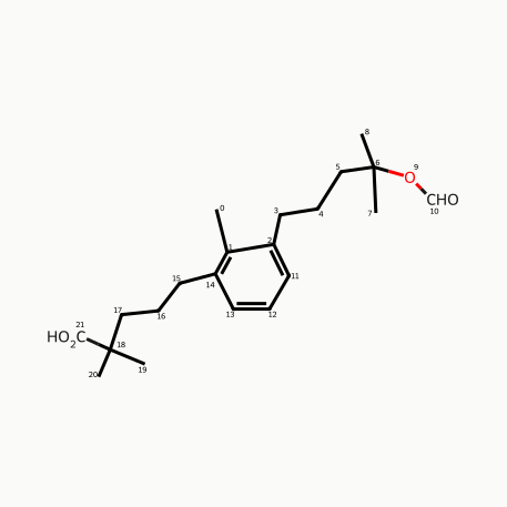 Cc1c(CCCC(C)(C)OC=O)cccc1CCCC(C)(C)C(=O)O